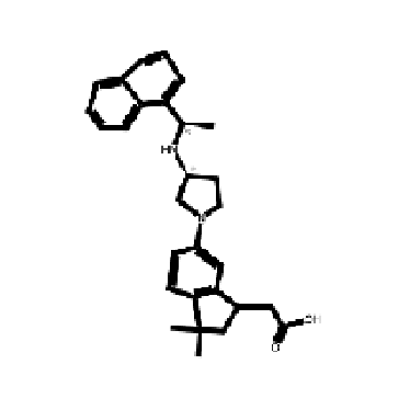 C[C@@H](N[C@H]1CCN(c2ccc3c(c2)C(CC(=O)O)CC3(C)C)C1)c1cccc2ccccc12